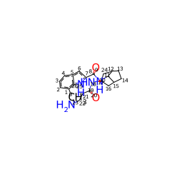 Cc1cccc2cc(C(=O)NC3C4CCC3CC(NC(=O)CCN)C4)[nH]c12